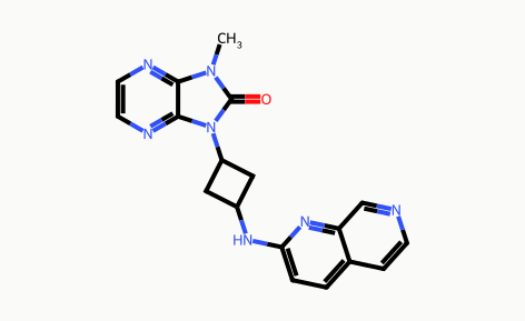 Cn1c(=O)n(C2CC(Nc3ccc4ccncc4n3)C2)c2nccnc21